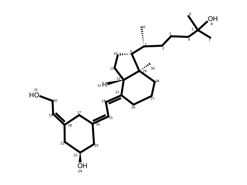 C[C@H](CCCC(C)(C)O)[C@H]1CC[C@H]2/C(=C/C=C3\C/C(=C\CO)C[C@H](O)C3)CCC[C@]12C